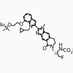 Cn1c(-c2cc3cccc(OCCO[Si](C)(C)C(C)(C)C)c3n2CC2CC2)nc2cc3c(cc21)CCN(C[C@@H](CF)NC(=O)O)C3=O